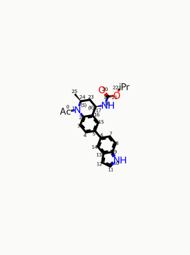 CC(=O)N1c2ccc(-c3ccc4[nH]ccc4c3)cc2[C@H](NC(=O)OC(C)C)C[C@@H]1C